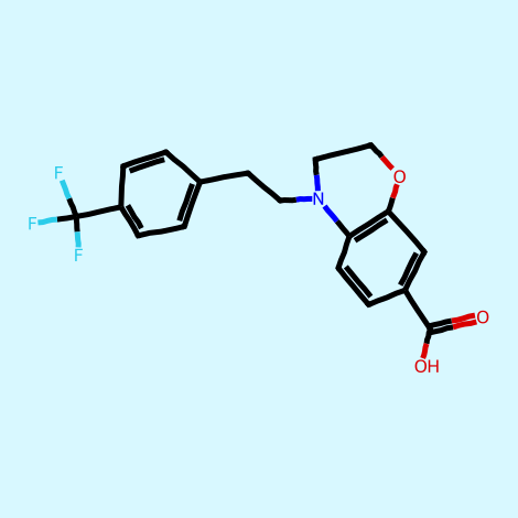 O=C(O)c1ccc2c(c1)OCCN2CCc1ccc(C(F)(F)F)cc1